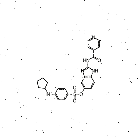 O=C(Nc1nc2cc(OS(=O)(=O)c3ccc(NC4CCCC4)cc3)ccc2[nH]1)c1ccncc1